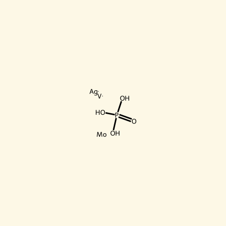 O=P(O)(O)O.[Ag].[Mo].[V]